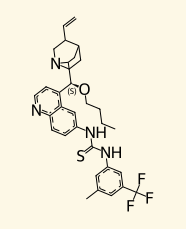 C=CC1CN2CCC1CC2[C@@H](OCCCC)c1ccnc2ccc(NC(=S)Nc3cc(C)cc(C(F)(F)F)c3)cc12